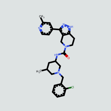 Cc1cc(-c2n[nH]c3c2CN(C(=O)NC2CC(C)CN(Cc4ccccc4Cl)C2)CC3)ccn1